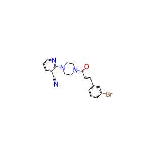 N#Cc1cccnc1N1CCN(C(=O)/C=C/c2cccc(Br)c2)CC1